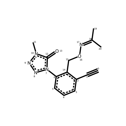 C#Cc1cccc(-n2nnn(C)c2=O)c1CON=C(C)C